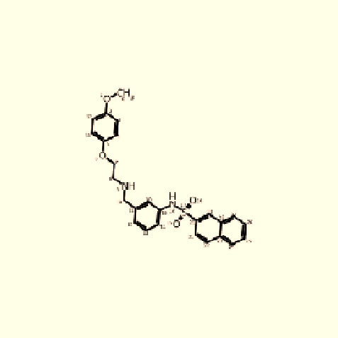 COc1ccc(OCCNCc2cccc(NS(=O)(=O)c3ccc4ccccc4c3)c2)cc1